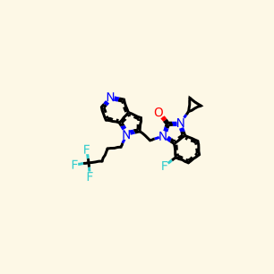 O=c1n(Cc2cc3cnccc3n2CCCC(F)(F)F)c2c(F)cccc2n1C1CC1